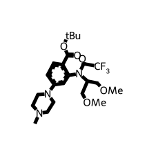 COCC(COC)N(C(=O)C(F)(F)F)c1cc(N2CCN(C)CC2)ccc1C(=O)OC(C)(C)C